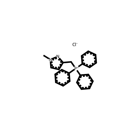 Cn1ccc(C[P+](c2ccccc2)(c2ccccc2)c2ccccc2)n1.[Cl-]